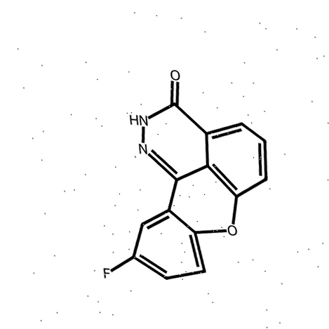 O=c1[nH]nc2c3c(cccc13)Oc1ccc(F)cc1-2